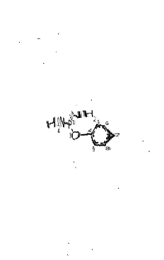 NP(N)Oc1ccccc1